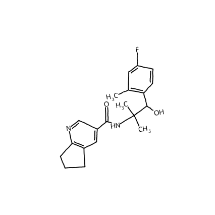 Cc1cc(F)ccc1C(O)C(C)(C)NC(=O)c1cnc2c(c1)CCC2